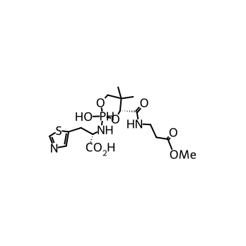 COC(=O)CCNC(=O)[C@@H]1O[PH](O)(N[C@@H](Cc2cncs2)C(=O)O)OCC1(C)C